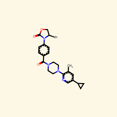 Cc1cc(C2CC2)cnc1N1CCN(C(=O)c2ccc(N3C(=O)OCC3C(C)C)cc2)CC1